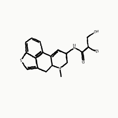 CCC(CO)C(=O)NC1C=C2c3cccc4scc(c34)CC2N(C)C1